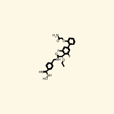 CCO[C@H](C(=O)NCc1ccc(C(=N)NO)cc1)c1c(F)cc(-c2ccccc2OCC(N)=O)cc1F